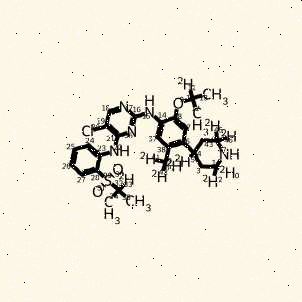 [2H]C1([2H])CC([2H])(c2cc(OC([2H])(C)C)c(Nc3ncc(Cl)c(Nc4ccccc4S(=O)(=O)C([2H])(C)C)n3)cc2C([2H])([2H])[2H])CC([2H])([2H])N1